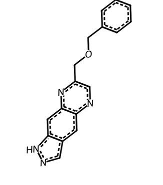 c1ccc(COCc2cnc3cc4cn[nH]c4cc3n2)cc1